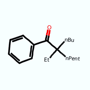 [CH2]CCCC(CC)(CCCCC)C(=O)c1ccccc1